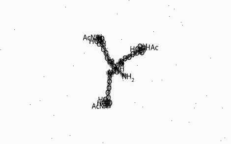 CC(=O)N[C@H]1[C@@H]2OC[C@](COCCOCCOCCCOCCCn3cc(COCC(COCc4cn(CCOCCOCCOCCOC[C@@]56CO[C@H](O5)[C@H](NC(C)=O)[C@@H](O)[C@H]6O)nn4)(COCc4cn(CCOCCOCCOCCOC[C@@]56CO[C@@H](O5)[C@H](NC(C)=O)[C@@H](O)[C@H]6O)nn4)NC(=O)CCCCCN)nn3)(O2)[C@H](O)[C@@H]1O